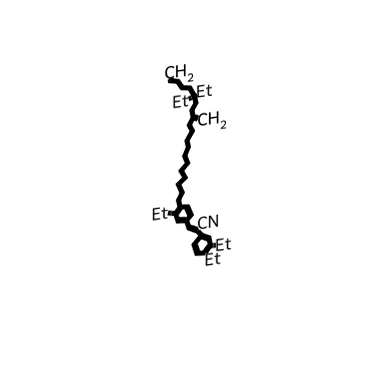 C=CCCCC(CC)(CC)CCC(=C)CCCCCCCCCCCc1ccc(/C=C(\C#N)c2ccc(CC)c(CC)c2)cc1CC